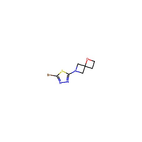 Brc1nnc(N2CC3(CCO3)C2)s1